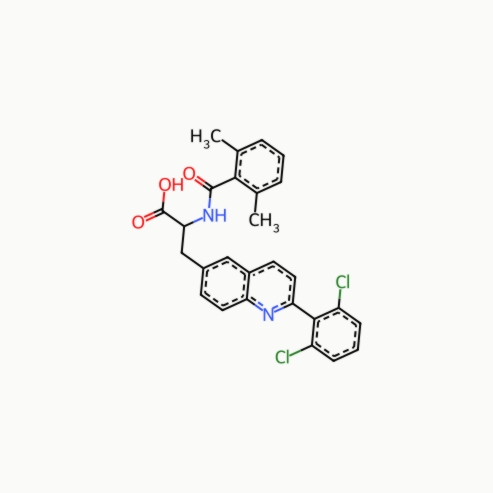 Cc1cccc(C)c1C(=O)NC(Cc1ccc2nc(-c3c(Cl)cccc3Cl)ccc2c1)C(=O)O